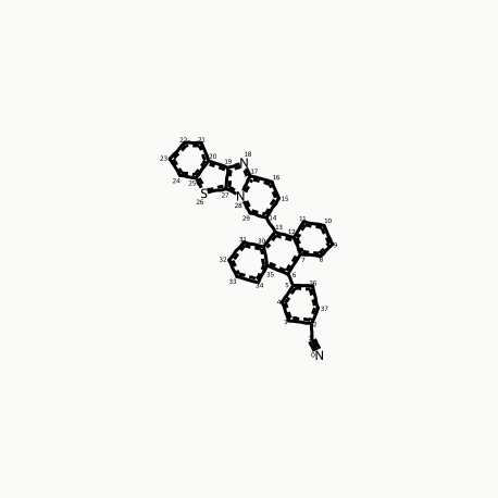 N#Cc1ccc(-c2c3ccccc3c(-c3ccc4nc5c6ccccc6sc5n4c3)c3ccccc23)cc1